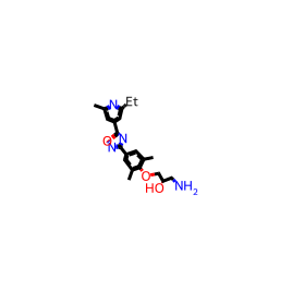 CCc1cc(-c2nc(-c3cc(C)c(OC[C@@H](O)CN)c(C)c3)no2)cc(C)n1